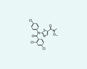 CON(C)C(=O)c1cnc(N(C(=O)c2ccc(Cl)cc2Cl)c2ccc(Cl)cc2)s1